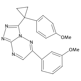 COc1ccc(C2(c3nnc4ncc(-c5cccc(OC)c5)nn34)CC2)cc1